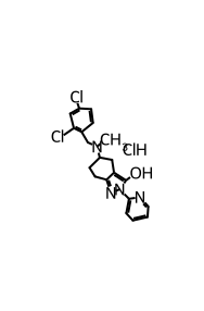 CN(Cc1ccc(Cl)cc1Cl)C1CCc2nn(-c3ccccn3)c(O)c2C1.Cl